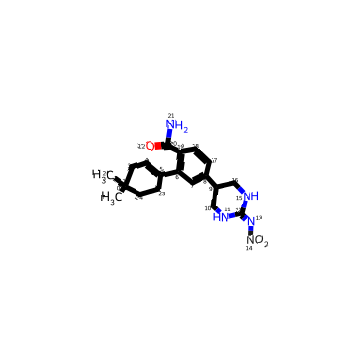 CC1(C)CC=C(c2cc(C3CNC(=N[N+](=O)[O-])NC3)ccc2C(N)=O)CC1